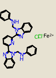 [Cl-].[Cl-].[Fe+2].c1ccc(NCn2c(-c3cccc(-c4nc5ccccc5n4CNc4ccccc4)n3)nc3ccccc32)cc1